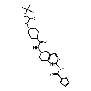 CC(C)(C)OC(=O)ON1CCC(C(=O)NC2CCc3nc(NC(=O)c4cccs4)ncc3C2)CC1